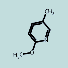 COC1=C=C=C(C)C=N1